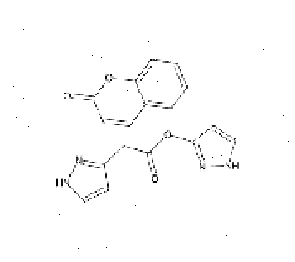 O=C(Cc1cc[nH]n1)Oc1cc[nH]n1.O=c1ccc2ccccc2o1